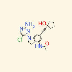 CC(=O)Nc1cc(C#CC2(O)CCCC2)cc2c1CCN2c1nc(N)ncc1Cl